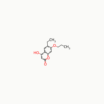 CCCOc1cc2oc(=O)cc(O)c2cc1CC